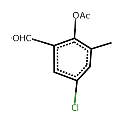 CC(=O)Oc1c(C)cc(Cl)cc1[C]=O